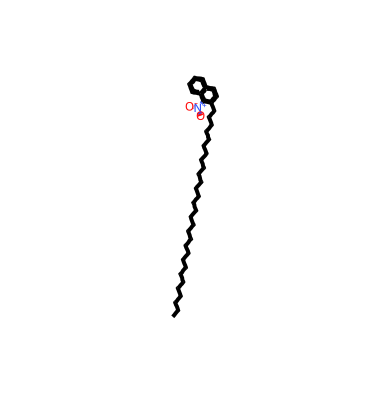 CCCCCCCCCCCCCCCCCCCCCCCCCCCCCCc1ccc2ccccc2c1[N+](=O)[O-]